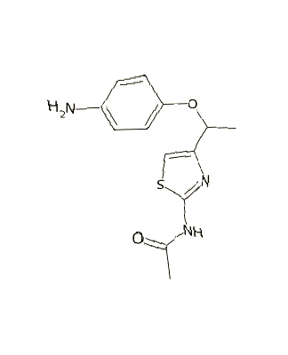 CC(=O)Nc1nc(C(C)Oc2ccc(N)cc2)cs1